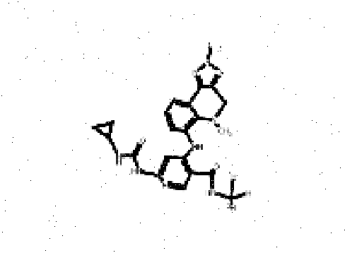 [2H]C([2H])([2H])NC(=O)c1cnc(NC(=O)NC2CC2)cc1Nc1cccc2c1N(C)Cc1nn(C)nc1-2